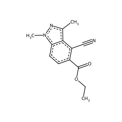 CCOC(=O)c1ccc2c(c(C)nn2C)c1C#N